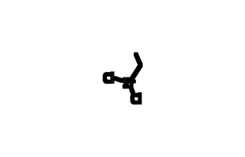 C[CH2][Zr]([Cl])[Cl]